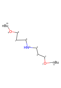 CCCCOCCCNCCCOCCCC